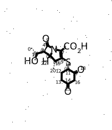 C[C@@H](O)[C@H]1C(=O)N2C(C(=O)O)=C(S[C@H]3CCC(=O)CC3=O)[C@H](C)[C@H]12